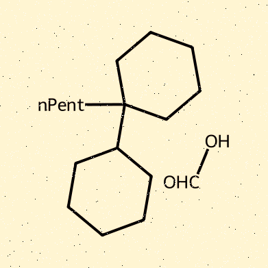 CCCCCC1(C2CCCCC2)CCCCC1.O=CO